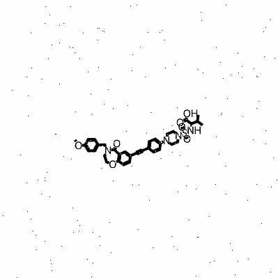 COc1ccc(CN2CCOc3ccc(C#Cc4ccc(N5CCN(S(=O)(=O)N[C@@H](C(=O)O)C(C)C)CC5)cc4)cc3C2=O)cc1